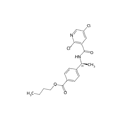 CCCCOC(=O)c1ccc([C@H](C)NC(=O)c2cc(Cl)cnc2Cl)cc1